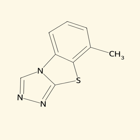 Cc1cccc2c1sc1nncn12